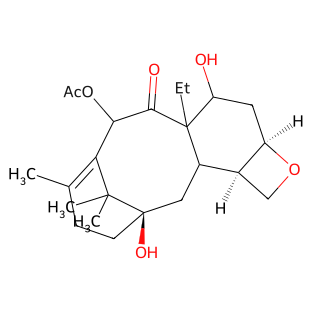 CCC12C(=O)C(OC(C)=O)C3=C(C)CC[C@@](O)(CC1[C@@H]1CO[C@@H]1CC2O)C3(C)C